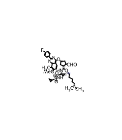 COc1ccc2c(O[C@H]3C[C@@H](C=O)[C@H](C(=O)N[C@]4(C(=O)NS(=O)(=O)C5CC5)C[C@H]4/C=C\CCCCN(C)C)C3)nc(-c3ccc(F)cc3)nc2c1C